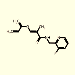 C=CC(=C)O/C=C(\C)C(=O)NCc1ncccc1F